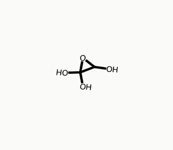 OC1OC1(O)O